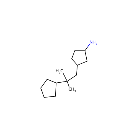 CC(C)(CC1CCC(N)C1)C1CCCC1